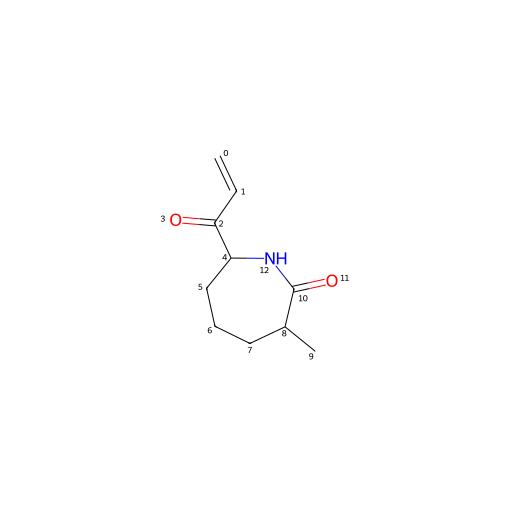 C=CC(=O)C1CCCC(C)C(=O)N1